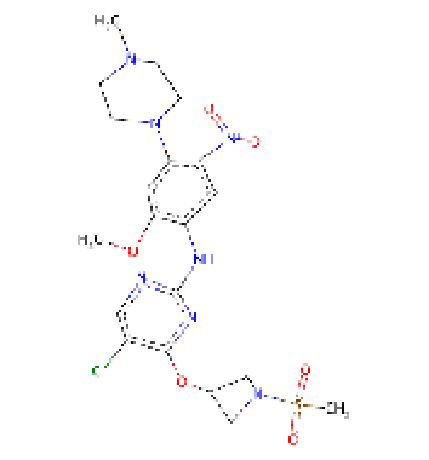 COc1cc(N2CCN(C)CC2)c([N+](=O)[O-])cc1Nc1ncc(Cl)c(OC2CN(S(C)(=O)=O)C2)n1